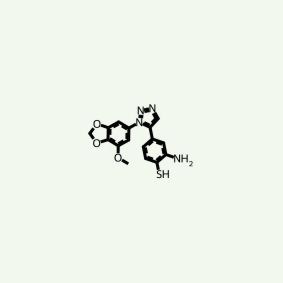 COc1cc(-n2nncc2-c2ccc(S)c(N)c2)cc2c1OCO2